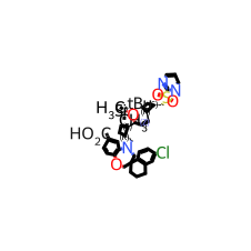 CC(C)(C)[Si](C)(C)OC(/C=C\[C@H]1CC[C@@H]1CS(=O)(=O)c1ncccn1)[C@@H]1CC[C@H]1CN1CC2(CCCc3cc(Cl)ccc32)COc2ccc(C(=O)O)cc21